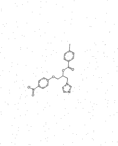 O=C(OC(COc1ccc([N+](=O)[O-])cc1)Cn1ccnc1)c1ccc(I)cc1